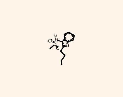 CCCCc1oc2ccccc2c1NS(C)(=O)=O